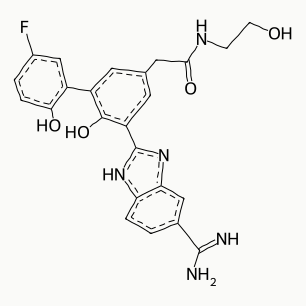 N=C(N)c1ccc2[nH]c(-c3cc(CC(=O)NCCO)cc(-c4cc(F)ccc4O)c3O)nc2c1